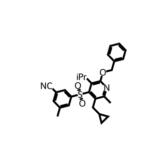 Cc1cc(C#N)cc(S(=O)(=O)c2c(CC3CC3)c(C)nc(OCc3ccccc3)c2C(C)C)c1